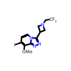 COc1c(I)ccn2c(C3CN(CC(F)(F)F)C3)nnc12